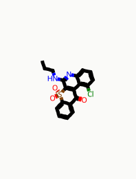 CCCNc1nc2cccc(Cl)c2c2c1S(=O)(=O)c1ccccc1C2=O